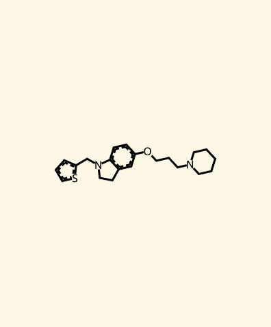 c1csc(CN2CCc3cc(OCCCN4CCCCC4)ccc32)c1